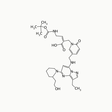 CCc1cnn2c(NCc3ccc(=O)n(CC(=CCNC(=O)OC(C)(C)C)C(=O)O)c3)cc(N3CCCCC3CCO)nc12